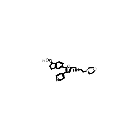 ON=C1CCc2cc(-c3oc(CNCCN4CCOCC4)cc3-c3ccncc3)ccc21